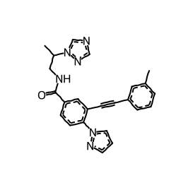 Cc1cccc(C#Cc2cc(C(=O)NCC(C)n3cncn3)ccc2-n2cccn2)c1